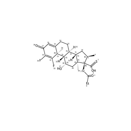 CCC(=O)O[C@]1(C(O)=S)[C@H](C)C[C@H]2[C@@H]3CCC4=CC(=O)C(F)=C(F)[C@]4(C)[C@H]3[C@@H](O)C[C@@]21C